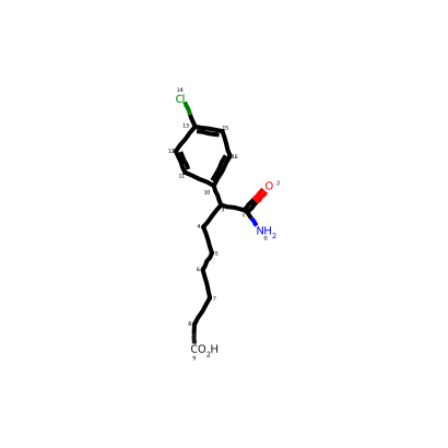 NC(=O)C(CCCCCC(=O)O)c1ccc(Cl)cc1